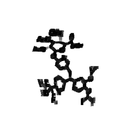 COC(=O)[C@H]1O[C@@H](Oc2ccc(C[C@H](c3ccc(C(C)(C)O)nc3)c3ccc(OC(F)F)c(OC4CC4)c3)cn2)[C@H](OC(C)=O)[C@@H](OC(C)=O)[C@@H]1OC(C)=O